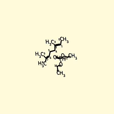 C/C=C(\C)CCC=C(C)C.CCO[PH](=O)OCC